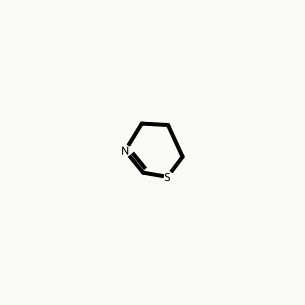 C1=NCCCS1